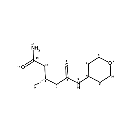 C[C@@H]([CH]C(=S)NC1CCOCC1)CC(N)=O